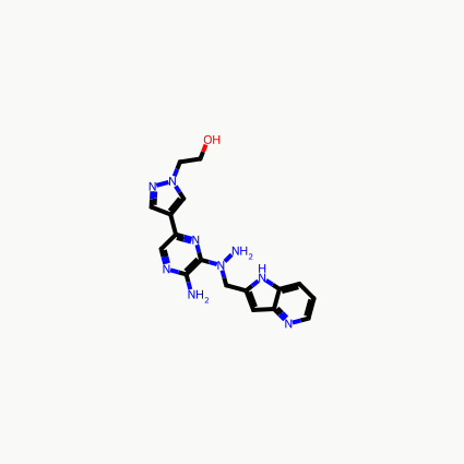 Nc1ncc(-c2cnn(CCO)c2)nc1N(N)Cc1cc2ncccc2[nH]1